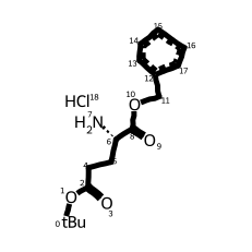 CC(C)(C)OC(=O)CC[C@H](N)C(=O)OCc1ccccc1.Cl